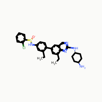 CCc1cc(N[S+]([O-])c2ccccc2Cl)ccc1-c1cc(CC)c2nc(N[C@H]3CC[C@H](N)CC3)ncc2c1